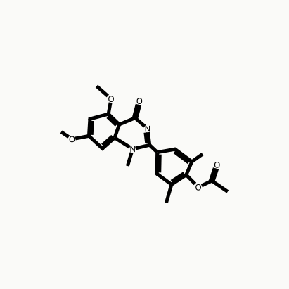 COc1cc(OC)c2c(=O)nc(-c3cc(C)c(OC(C)=O)c(C)c3)n(C)c2c1